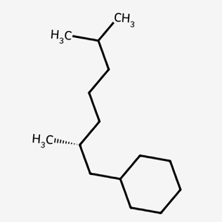 CC(C)CCC[C@@H](C)CC1CCCCC1